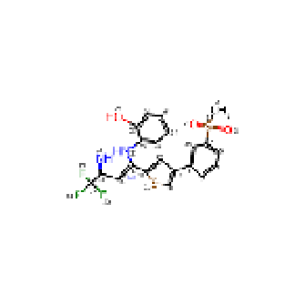 CS(=O)(=O)c1cccc(-c2csc(/C(=C/C(=N)C(F)(F)F)Nc3ccccc3O)c2)c1